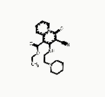 CCOC(=O)c1c(NCCN2CCCCC2)c(C#N)c(=O)n2ccccc12